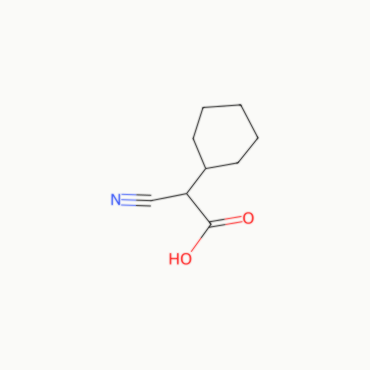 N#CC(C(=O)O)C1CCCCC1